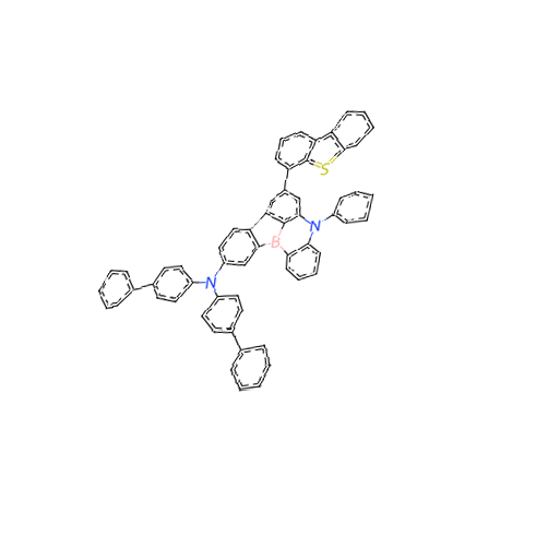 c1ccc(-c2ccc(N(c3ccc(-c4ccccc4)cc3)c3ccc4c(c3)B3c5ccccc5N(c5ccccc5)c5cc(-c6cccc7c6sc6ccccc67)cc-4c53)cc2)cc1